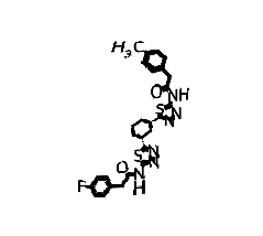 Cc1ccc(CC(=O)Nc2nnc([C@@H]3CCC[C@@H](c4nnc(NC(=O)Cc5ccc(F)cc5)s4)C3)s2)cc1